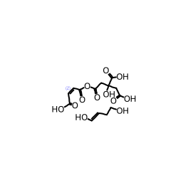 O=C(O)/C=C\C(=O)OC(=O)CC(O)(CC(=O)O)C(=O)O.OC=CCCO